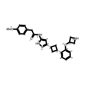 COc1ccc(CC(=O)Nc2cc([C@H]3C[C@@H](c4ccccc4OC4CNC4)C3)n[nH]2)cc1